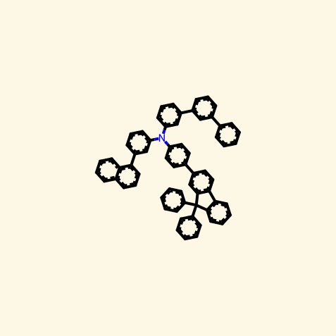 c1ccc(-c2cccc(-c3cccc(N(c4ccc(-c5ccc6c(c5)C(c5ccccc5)(c5ccccc5)c5ccccc5-6)cc4)c4cccc(-c5cccc6ccccc56)c4)c3)c2)cc1